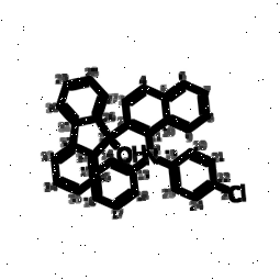 OC1(c2ccc3ccccc3c2N(c2ccccc2)c2ccc(Cl)cc2)c2ccccc2-c2ccccc21